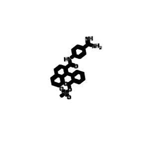 CS(=O)(=O)OC(=O)c1ccccc1-c1c(C(=O)Nc2ccc(C(=N)N)cc2)ccc2ccccc12